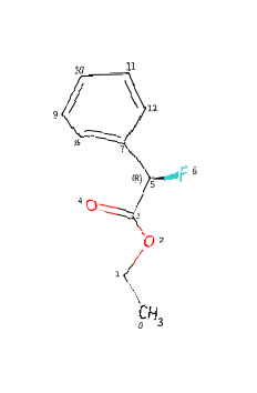 CCOC(=O)[C@H](F)c1ccccc1